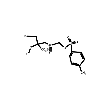 CCOC(=O)C(CC(C)C)(C[PH](=O)COS(=O)(=O)c1ccc(C)cc1)OCC